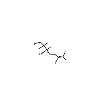 CC[C@@](C)(CCC(I)=C(C)C)C(C)(C)CI